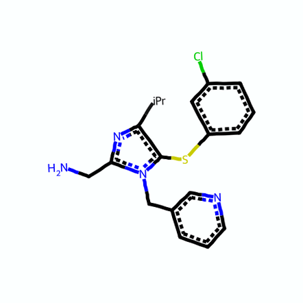 CC(C)c1nc(CN)n(Cc2cccnc2)c1Sc1cccc(Cl)c1